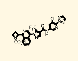 O=C(Nc1cnc(-n2nccn2)c(Cl)c1)c1cnn(-c2cnc(C3CCN3C(=O)O)c3ccccc23)c1C(F)(F)F